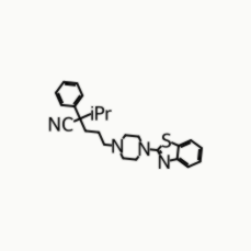 CC(C)C(C#N)(CCCN1CCN(c2nc3ccccc3s2)CC1)c1ccccc1